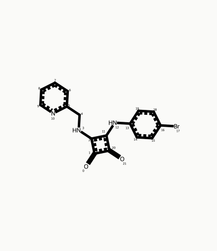 O=c1c(NCc2ccccn2)c(Nc2ccc(Br)cc2)c1=O